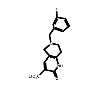 CCOC(=O)c1cc2c([nH]c1=O)CCN(Cc1cccc(F)c1)C2